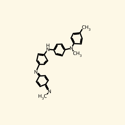 CN=C1C=CC(=Nc2ccc(Nc3ccc(N(C)c4ccc(C)cc4)cc3)cc2)C=C1